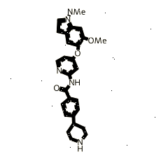 CNn1ccc2cc(Oc3ccnc(NC(=O)c4ccc(C5CCNCC5)cc4)c3)c(OC)cc21